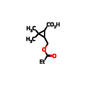 CCC(=O)OCC1C(C(=O)O)C1(C)C